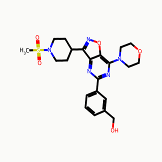 CS(=O)(=O)N1CCC(c2noc3c(N4CCOCC4)nc(-c4cccc(CO)c4)nc23)CC1